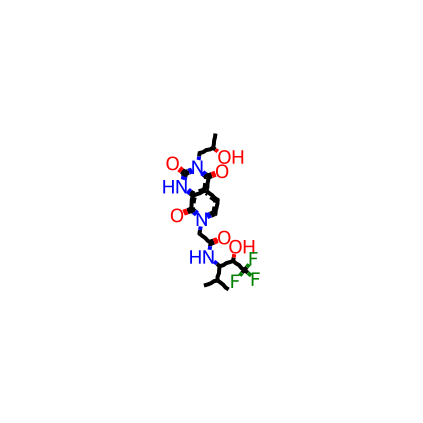 CC(O)Cn1c(=O)[nH]c2c(=O)n(CC(=O)NC(C(C)C)C(O)C(F)(F)F)ccc2c1=O